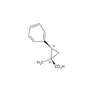 C[C@@]1(C(=O)O)C[C@@H]1c1ccccc1